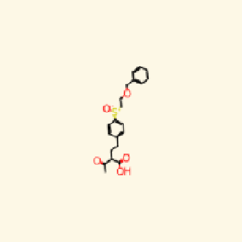 CC(=O)C(CCc1ccc([S+]([O-])CCOCc2ccccc2)cc1)C(=O)O